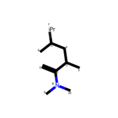 C=C(C(C)CC(C)C(C)C)N(C)C